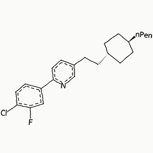 CCCCC[C@H]1CC[C@H](CCc2ccc(-c3ccc(Cl)c(F)c3)nc2)CC1